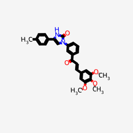 COc1cc(C=CC(=O)c2cccc(-n3cc(-c4ccc(C)cc4)[nH]c3=O)c2)cc(OC)c1OC